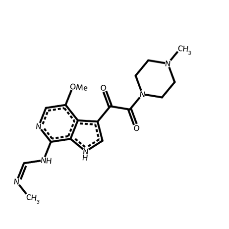 C/N=C\Nc1ncc(OC)c2c(C(=O)C(=O)N3CCN(C)CC3)c[nH]c12